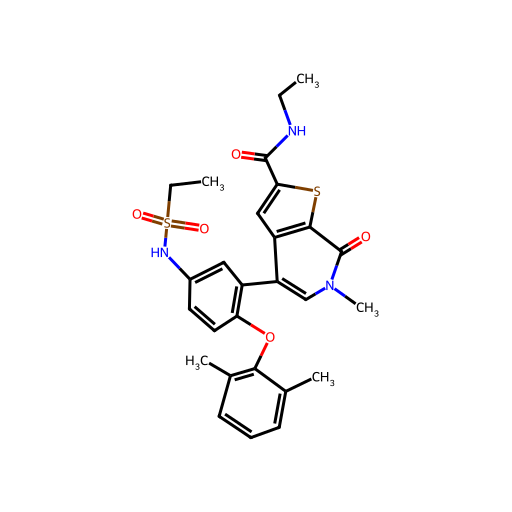 CCNC(=O)c1cc2c(-c3cc(NS(=O)(=O)CC)ccc3Oc3c(C)cccc3C)cn(C)c(=O)c2s1